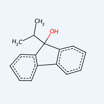 CC(C)C1(O)c2ccccc2-c2ccccc21